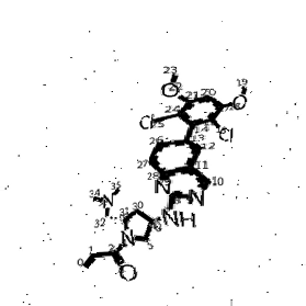 C=CC(=O)N1C[C@@H](Nc2ncc3cc(-c4c(Cl)c(OC)cc(OC)c4Cl)ccc3n2)C[C@H]1CN(C)C